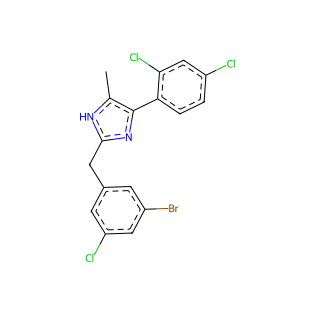 Cc1[nH]c(Cc2cc(Cl)cc(Br)c2)nc1-c1ccc(Cl)cc1Cl